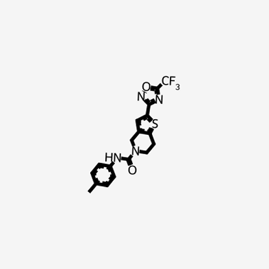 Cc1ccc(NC(=O)N2CCc3sc(-c4noc(C(F)(F)F)n4)cc3C2)cc1